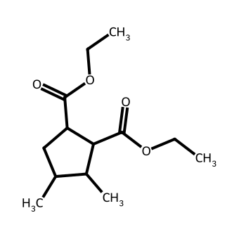 CCOC(=O)C1CC(C)C(C)C1C(=O)OCC